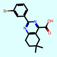 CC1(C)CCc2nc(-c3cccc(Br)c3)nc(C(=O)O)c2C1